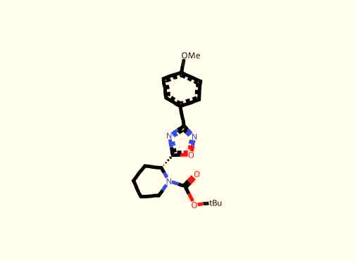 COc1ccc(-c2noc([C@H]3CCCCN3C(=O)OC(C)(C)C)n2)cc1